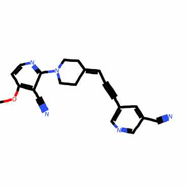 COc1ccnc(N2CCC(=CC#Cc3cncc(C#N)c3)CC2)c1C#N